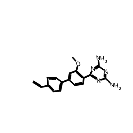 C=Cc1ccc(-c2ccc(-c3nc(N)nc(N)n3)c(OC)c2)cc1